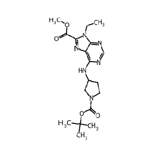 CCn1c(C(=O)OC)nc2c(NC3CCN(C(=O)OC(C)(C)C)C3)ncnc21